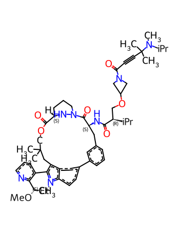 CCn1c(-c2cccnc2[C@H](C)OC)c2c3cc(ccc31)-c1cccc(c1)C[C@H](NC(=O)[C@@H](COC1CN(C(=O)C#CC(C)(C)N(C)C(C)C)C1)C(C)C)C(=O)N1CCC[C@H](N1)C(=O)OCC(C)(C)C2